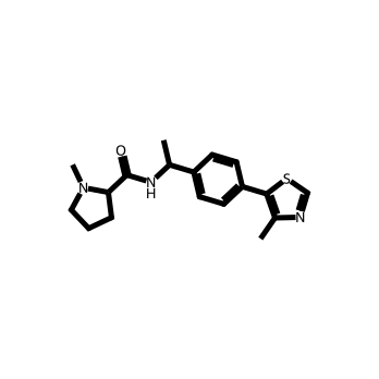 Cc1ncsc1-c1ccc(C(C)NC(=O)C2CCCN2C)cc1